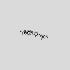 N#C/C(F)=C/CC[C@H]1CC[C@H](CCc2ccc(OC(F)(F)F)cc2)CC1